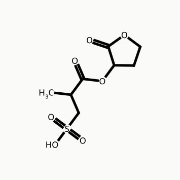 CC(CS(=O)(=O)O)C(=O)OC1CCOC1=O